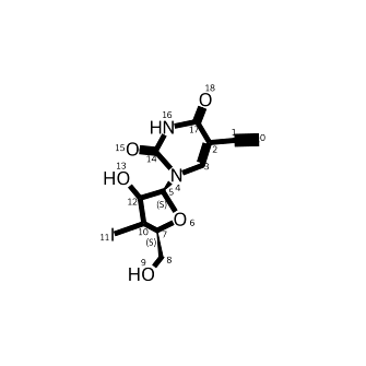 C#Cc1cn([C@H]2O[C@@H](CO)C(I)C2O)c(=O)[nH]c1=O